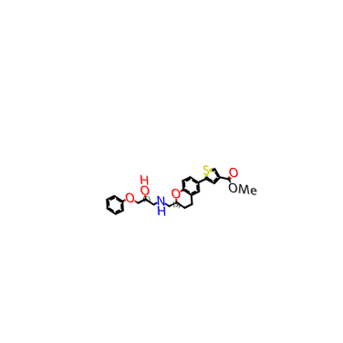 COC(=O)c1csc(-c2ccc3c(c2)CC[C@@H](CNC[C@H](O)COc2ccccc2)O3)c1